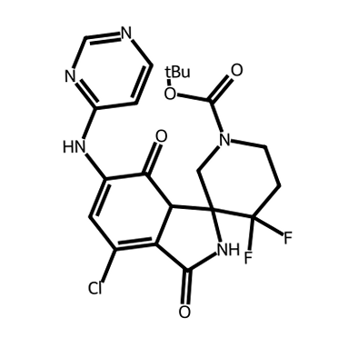 CC(C)(C)OC(=O)N1CCC(F)(F)C2(C1)NC(=O)C1=C(Cl)C=C(Nc3ccncn3)C(=O)C12